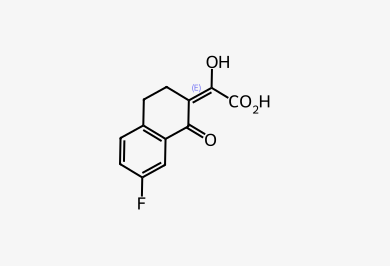 O=C(O)/C(O)=C1/CCc2ccc(F)cc2C1=O